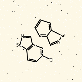 Clc1ccc2[se]ncc2c1.c1ccc2[se]ncc2c1